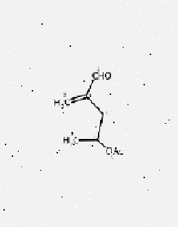 C=C(C=O)CC(C)OC(C)=O